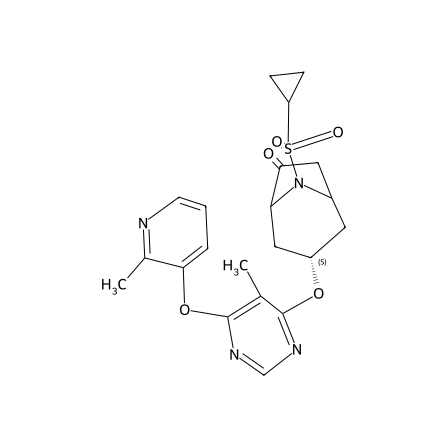 Cc1ncccc1Oc1ncnc(O[C@H]2CC3CC(=O)C(C2)N3S(=O)(=O)C2CC2)c1C